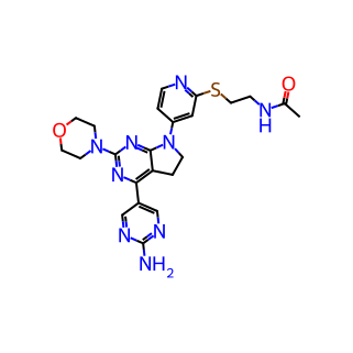 CC(=O)NCCSc1cc(N2CCc3c(-c4cnc(N)nc4)nc(N4CCOCC4)nc32)ccn1